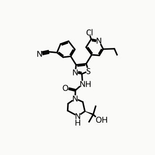 CCc1cc(-c2sc(NC(=O)N3CCN[C@H](C(C)(C)O)C3)nc2-c2cccc(C#N)c2)cc(Cl)n1